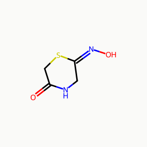 O=C1CSC(=NO)CN1